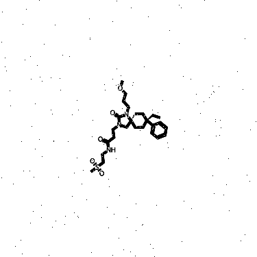 CC[C@]1(c2ccccc2)CC[C@]2(CC1)CN(CCC(=O)NCCS(C)(=O)=O)C(=O)N2CCCOC